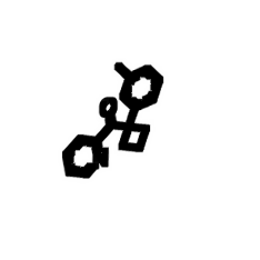 Cc1cccc(C2(C(=O)c3ccccn3)CCC2)c1